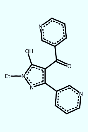 CCn1nc(-c2cccnc2)c(C(=O)c2cccnc2)c1O